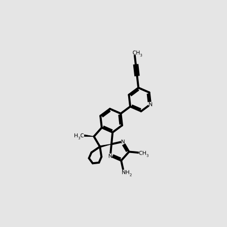 CC#Cc1cncc(-c2ccc3c(c2)[C@@]2(N=C(C)C(N)=N2)C2(CCCCC2)[C@H]3C)c1